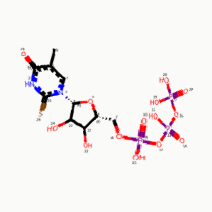 Cc1cn([C@@H]2O[C@H](COP(=O)(O)OP(=O)(O)OP(=O)(O)O)C(O)C2O)c(=S)[nH]c1=O